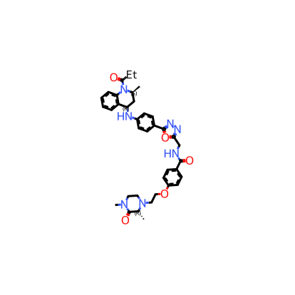 CCC(=O)N1c2ccccc2[C@H](Nc2ccc(-c3nnc(CNC(=O)c4ccc(OCCN5CCN(C)C(=O)[C@H]5C)cc4)o3)cc2)C[C@@H]1C